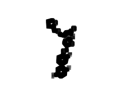 O=c1cc(COCC2CCCO2)n2c(n1)O[C@H](COc1ccc(-c3cc(F)ccc3F)cc1F)C2